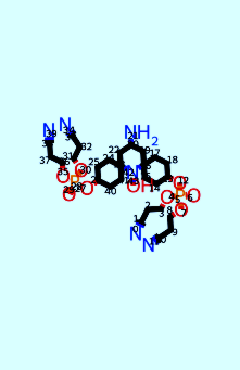 N#CCCOP(=O)(OCCC#N)OC1CCC2(CC1)CC(N)CC1(CCC(OP(=O)(OCCC#N)OCCC#N)CC1)N2O